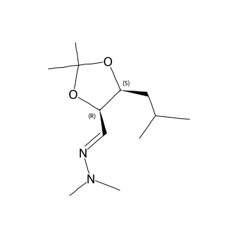 CC(C)C[C@@H]1OC(C)(C)O[C@@H]1C=NN(C)C